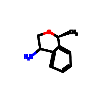 C[C@@H]1OCC(N)c2ccccc21